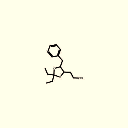 CCC1(CC)OC(CCO)C(Cc2ccccc2)O1